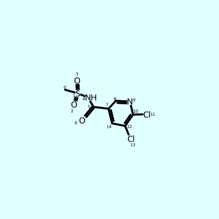 CS(=O)(=O)NC(=O)c1cnc(Cl)c(Cl)c1